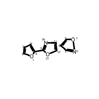 c1cnoc1.c1coc(-c2ncco2)c1